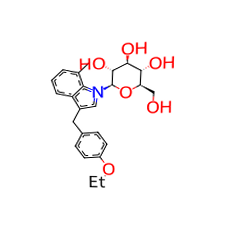 CCOc1ccc(Cc2cn([C@@H]3O[C@H](CO)[C@@H](O)[C@H](O)[C@H]3O)c3c(C)cccc23)cc1